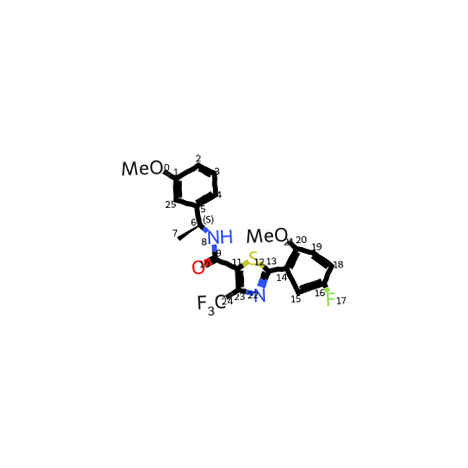 COc1cccc([C@H](C)NC(=O)c2sc(-c3cc(F)ccc3OC)nc2C(F)(F)F)c1